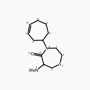 CNC1CSCCN(C2CC=CCCC2)C1=O